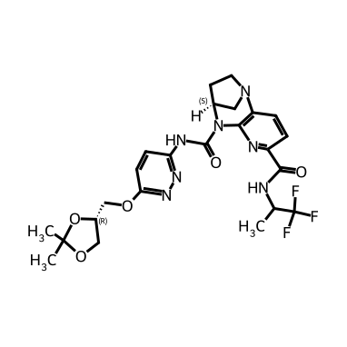 CC(NC(=O)c1ccc2c(n1)N(C(=O)Nc1ccc(OC[C@@H]3COC(C)(C)O3)nn1)[C@H]1CCN2C1)C(F)(F)F